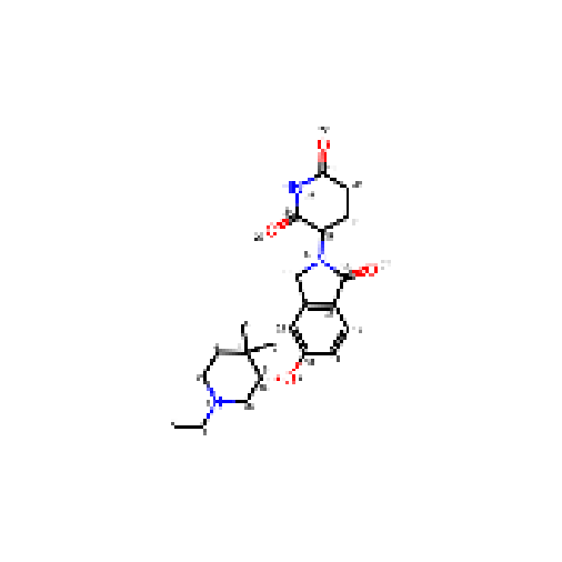 CCN1CCC(C)(C)[C@H](Oc2ccc3c(c2)CN(C2CCC(=O)NC2=O)C3=O)C1